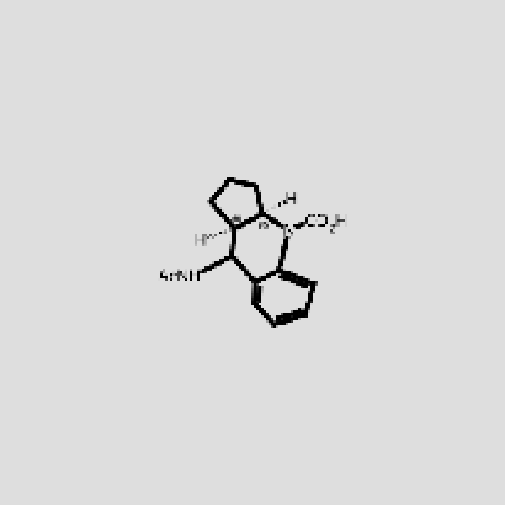 CC(=O)NC1c2ccccc2N(C(=O)O)[C@@H]2CCC[C@H]12